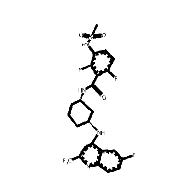 CS(=O)(=O)Nc1ccc(F)c(C(=O)N[C@@H]2CCC[C@H](Nc3cc(C(F)(F)F)nc4ccc(F)cc34)C2)c1F